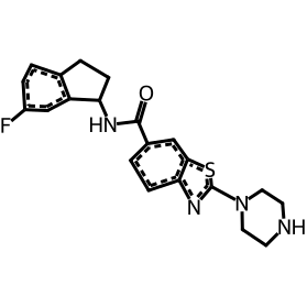 O=C(NC1CCc2ccc(F)cc21)c1ccc2nc(N3CCNCC3)sc2c1